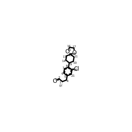 C[C@H](C=O)Cc1ccc(C2CCC3(CC2)OCCO3)c(Cl)c1